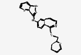 c1cnc2c(Nc3ccc4c(OCC5CCCCO5)nccc4c3)n[nH]c2c1